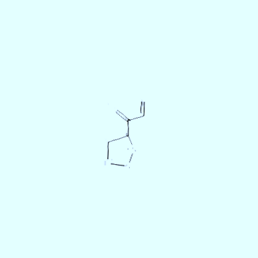 O=CC(=O)C1CPNN1